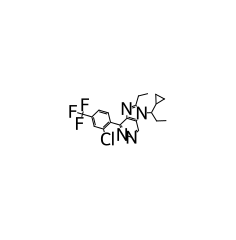 CCc1nc2c(-c3ccc(C(F)(F)F)cc3Cl)nncc2n1C(CC)C1CC1